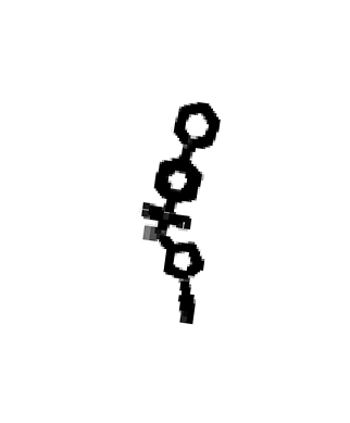 N#CN1CCC(NS(=O)(=O)c2ccc(N3CCCCC3)cc2)C1